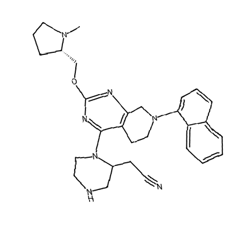 CN1CCC[C@H]1COc1nc2c(c(N3CCNCC3CC#N)n1)CCN(c1cccc3ccccc13)C2